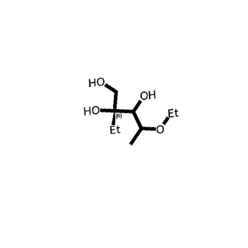 CCOC(C)C(O)[C@@](O)(CC)CO